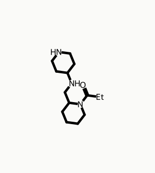 CCC(=O)N1CCCCC1CNC1CCNCC1